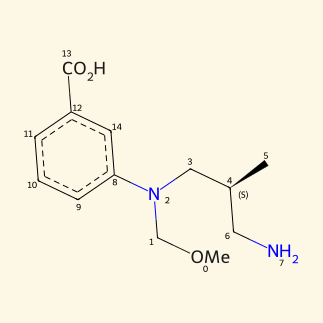 COCN(C[C@@H](C)CN)c1cccc(C(=O)O)c1